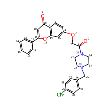 O=C(COc1ccc2c(=O)cc(-c3ccccc3)oc2c1)N1CCN(Cc2ccc(Cl)cc2)CC1